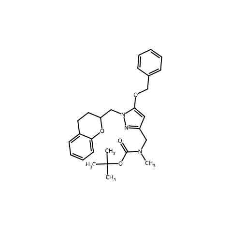 CN(Cc1cc(OCc2ccccc2)n(CC2CCc3ccccc3O2)n1)C(=O)OC(C)(C)C